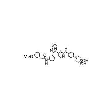 COc1cccc(CC(=O)Nc2cccc(-c3nc4sccn4c3-c3ccnc(Nc4ccc(N5CCS(O)(O)CC5)cc4)n3)c2)c1